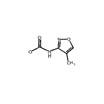 Cc1conc1NC([O])=O